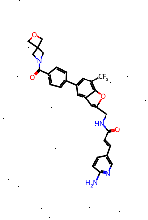 Nc1ccc(C=CC(=O)NCc2cc3cc(-c4ccc(C(=O)N5CC6(COC6)C5)cc4)cc(C(F)(F)F)c3o2)cn1